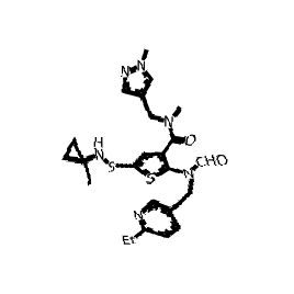 CCc1ccc(CN(C=O)c2sc(SNC3(C)CC3)cc2C(=O)N(C)Cc2cnn(C)c2)cn1